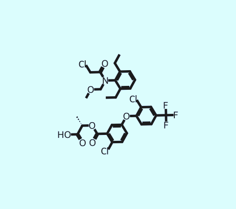 CCc1cccc(CC)c1N(COC)C(=O)CCl.C[C@H](OC(=O)c1cc(Oc2ccc(C(F)(F)F)cc2Cl)ccc1Cl)C(=O)O